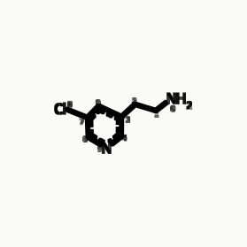 NCCc1cncc(Cl)c1